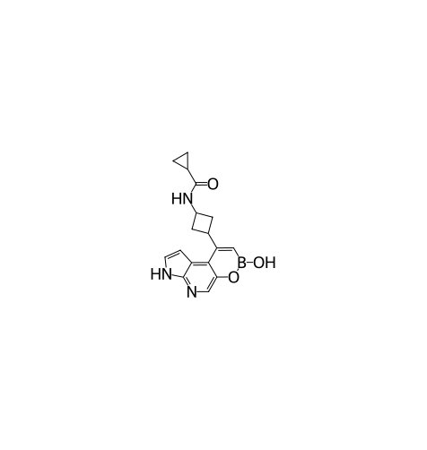 O=C(NC1CC(C2=CB(O)Oc3cnc4[nH]ccc4c32)C1)C1CC1